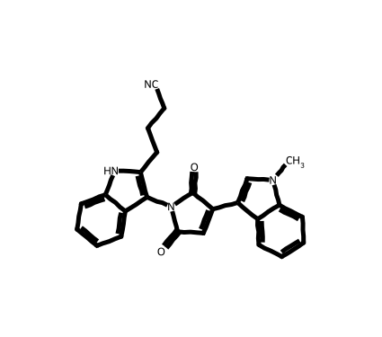 Cn1cc(C2=CC(=O)N(c3c(CCCC#N)[nH]c4ccccc34)C2=O)c2ccccc21